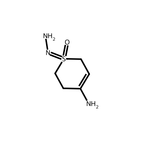 NN=S1(=O)CC=C(N)CC1